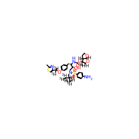 [2H]C([2H])(Oc1ccc(C[C@H](NC(=O)O[C@]2([2H])[C@@H]3CCO[C@@H]3OC2([2H])[2H])[C@H](O)CN(CC([2H])(C([2H])([2H])[2H])C([2H])([2H])[2H])S(=O)(=O)c2ccc(N)cc2)cc1)c1csc(C)n1